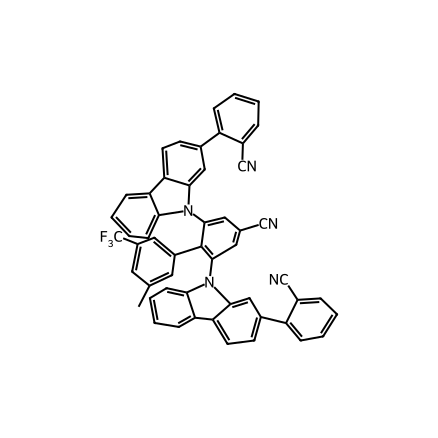 Cc1cc(-c2c(-n3c4ccccc4c4ccc(-c5ccccc5C#N)cc43)cc(C#N)cc2-n2c3ccccc3c3ccc(-c4ccccc4C#N)cc32)cc(C(F)(F)F)c1